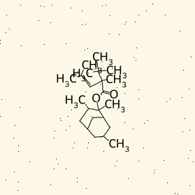 CC(C)=CC(C)(C(=O)OC1(C)C(C)CC2CC(C)CC1C2)C(C)(C)C